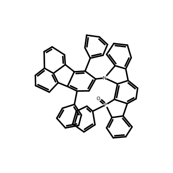 O=P1(c2ccccc2)c2ccccc2-c2ccc3c4ccccc4n(-c4cc(-c5ccccc5)c5c(c4-c4ccccc4)-c4cccc6cccc-5c46)c3c21